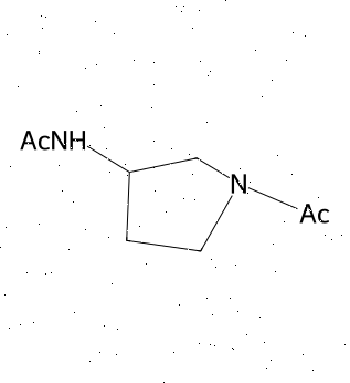 CC(=O)NC1CCN(C(C)=O)C1